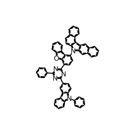 c1ccc(-c2nc(-c3ccc4c(c3)c3ccccc3n4-c3ccccc3)nc(-c3ccc(-n4c5cc6ccccc6cc5c5c6ccccc6ccc54)c4c3oc3ccccc34)n2)cc1